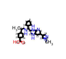 C[C@@H](CN[C@H](c1ccccc1)[C@H]1CNc2cc(-c3cnn(C)c3)cnc2N1)c1ccc(C(=O)O)cc1